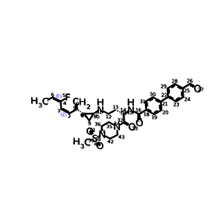 C=C(/C=C\C(F)=C/C)[C@H]1C[C@@H]1NCC[C@H](NC(=O)c1ccc(-c2ccc(C=O)cc2)cc1)C(=O)N1CCN(S(C)(=O)=O)CC1